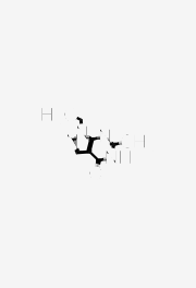 CCn1ncc2c(=O)[nH]c(C)nc21